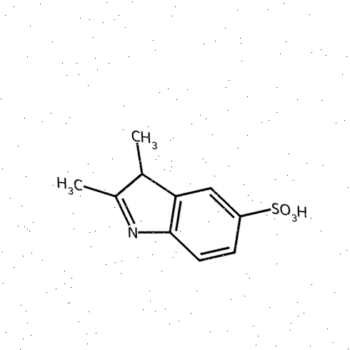 CC1=Nc2ccc(S(=O)(=O)O)cc2C1C